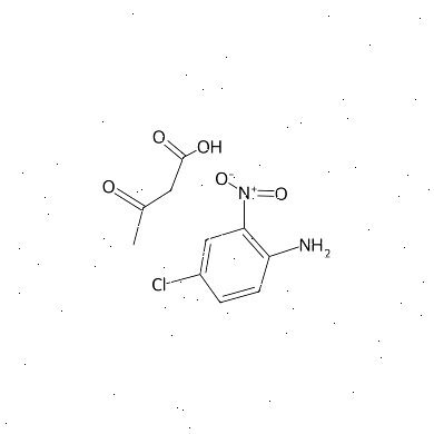 CC(=O)CC(=O)O.Nc1ccc(Cl)cc1[N+](=O)[O-]